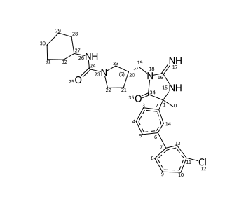 CC1(c2cccc(-c3cccc(Cl)c3)c2)NC(=N)N(C[C@@H]2CCN(C(=O)NC3CCCCC3)C2)C1=O